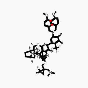 COc1ccc(CN(Cc2ccc(OC)cc2)c2cc(-c3nc4c5c(nc(OCC6(CN(C)C)CC6(F)F)nc5c3F)N3C[C@H]5CC[C@@H]([C@H]3[C@H](C)O4)N5C(=O)OC(C)(C)C)c(C(F)(F)F)c(C)c2F)cc1